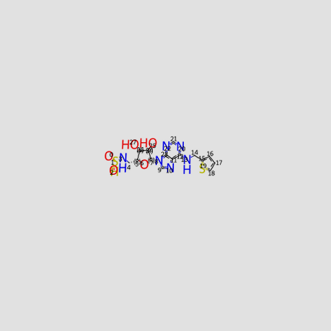 O=[SH](=O)NC[C@H]1O[C@@H](n2cnc3c(NCc4cccs4)ncnc32)[C@H](O)[C@@H]1O